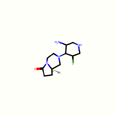 NC1CNCC(F)C1N1CCN2C(=O)CC[C@@H]2C1